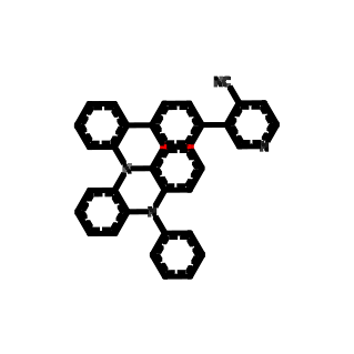 N#Cc1ccncc1-c1ccc(-c2ccccc2N2c3ccccc3N(c3ccccc3)c3ccccc32)cc1